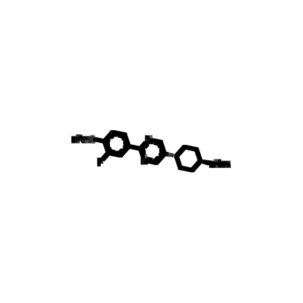 CCCCCC[C@H]1CC[C@H](c2cnc(-c3ccc(CCCCC)c(F)c3)nc2)CC1